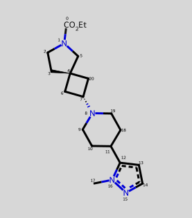 CCOC(=O)N1CC[C@]2(C1)C[C@@H](N1CCC(c3ccnn3C)CC1)C2